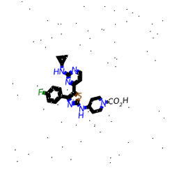 O=C(O)N1CCC(Nc2nc(-c3ccc(F)cc3)c(-c3ccnc(NC4CC4)n3)s2)CC1